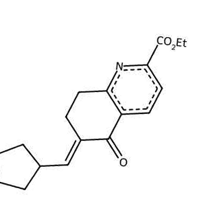 CCOC(=O)c1ccc2c(n1)CCC(=CC1CCCC1)C2=O